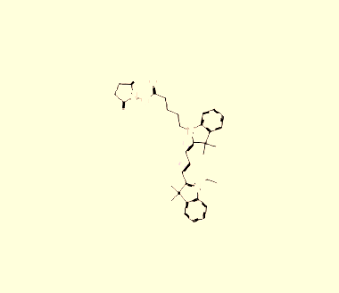 CC[N+]1=C(/C=C/C=C2/N(CCCCC(=O)ON3C(=O)CCC3=O)c3ccccc3C2(C)C)C(C)(C)c2ccccc21